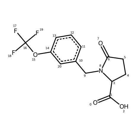 O=C(O)C1CCC(=O)N1Cc1cccc(OC(F)(F)F)c1